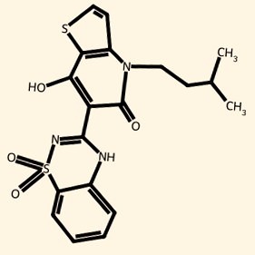 CC(C)CCn1c(=O)c(C2=NS(=O)(=O)c3ccccc3N2)c(O)c2sccc21